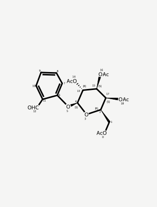 CC(=O)OC[C@H]1O[C@@H](Oc2ccccc2C=O)[C@H](OC(C)=O)[C@@H](OC(C)=O)[C@H]1OC(C)=O